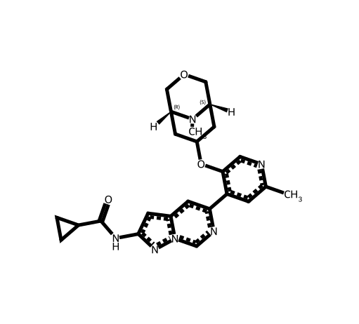 Cc1cc(-c2cc3cc(NC(=O)C4CC4)nn3cn2)c(OC2C[C@H]3COC[C@@H](C2)N3C)cn1